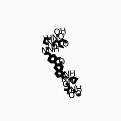 COC(=O)N[C@H](C(=O)N1[C@@H](C)CC[C@H]1c1nc2ccc3cc4c(cc3c2[nH]1)OCc1cc(-c2cnc([C@@H]3C[C@H](C)CN3C(=O)[C@@H](NC(O)OC)C3CCOCC3)[nH]2)ccc1-4)C(C)C